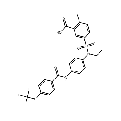 CCN(c1ccc(NC(=O)c2ccc(OC(F)(F)F)cc2)cc1)S(=O)(=O)c1ccc(C)c(C(=O)O)c1